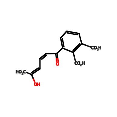 O=C(O)/C(O)=C\C=C/C(=O)c1cccc(C(=O)O)c1C(=O)O